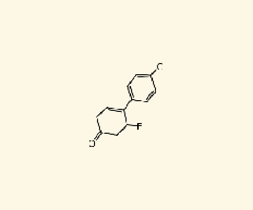 O=C1CC=C(c2ccc(Cl)cc2)C(F)C1